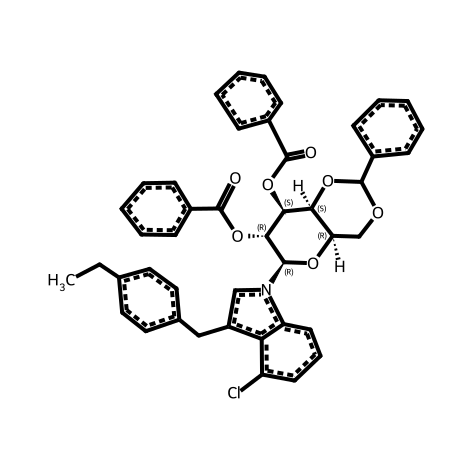 CCc1ccc(Cc2cn([C@@H]3O[C@@H]4COC(c5ccccc5)O[C@@H]4[C@H](OC(=O)c4ccccc4)[C@H]3OC(=O)c3ccccc3)c3cccc(Cl)c23)cc1